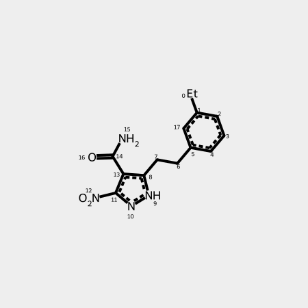 CCc1cccc(CCc2[nH]nc([N+](=O)[O-])c2C(N)=O)c1